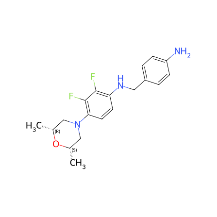 C[C@@H]1CN(c2ccc(NCc3ccc(N)cc3)c(F)c2F)C[C@H](C)O1